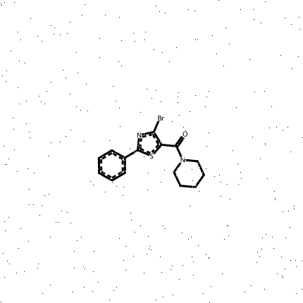 O=C(c1sc(-c2ccccc2)nc1Br)N1CCCCC1